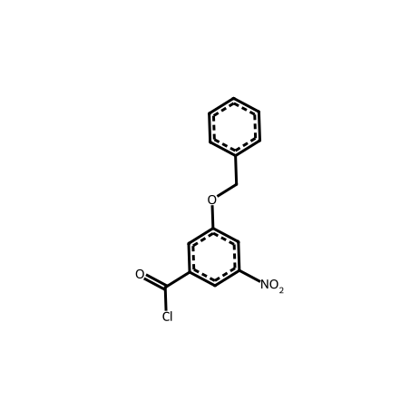 O=C(Cl)c1cc(OCc2ccccc2)cc([N+](=O)[O-])c1